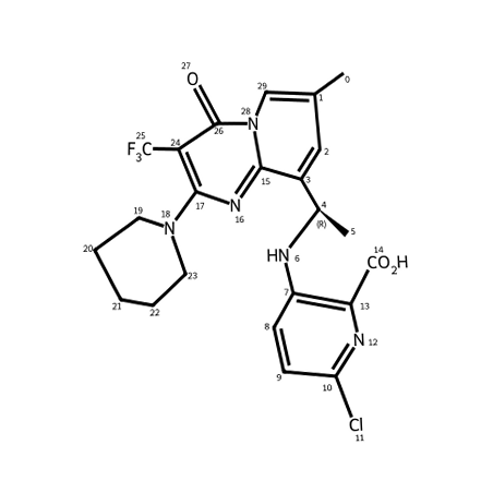 Cc1cc([C@@H](C)Nc2ccc(Cl)nc2C(=O)O)c2nc(N3CCCCC3)c(C(F)(F)F)c(=O)n2c1